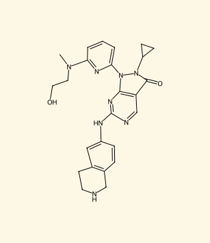 CN(CCO)c1cccc(-n2c3nc(Nc4ccc5c(c4)CCNC5)ncc3c(=O)n2C2CC2)n1